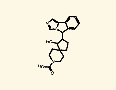 O=C(O)N1CCC2(CCC(C3c4ccccc4-c4cncn43)C2O)CC1